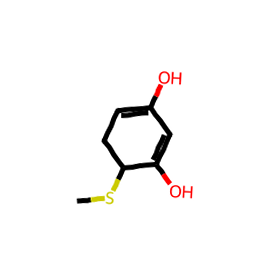 CSC1CC=C(O)C=C1O